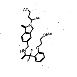 C=C1c2ccc(CNC(=C)C(F)(F)c3ccccc3OCCOC)cc2CN1C(CCC(C)=O)C(C)=O